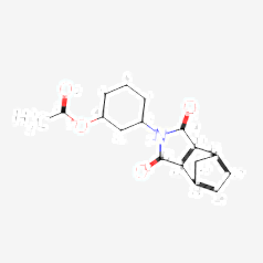 CC(=O)OC1CCCC(N2C(=O)C3=C(C2=O)C2=CC=C3C2)C1